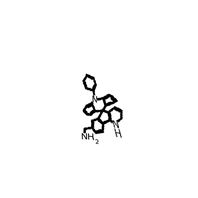 NCc1ccc2c(c1)C1(C3=C2NCC=C3)c2ccccc2N(c2ccccc2)c2ccccc21